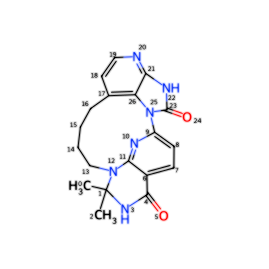 CC1(C)NC(=O)c2ccc3nc2N1CCCCc1ccnc2[nH]c(=O)n-3c12